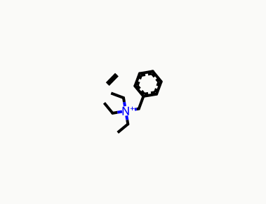 C=C.CC[N+](CC)(CC)Cc1ccccc1